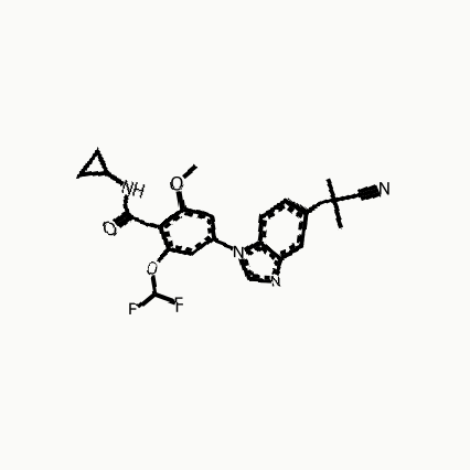 COc1cc(-n2cnc3cc(C(C)(C)C#N)ccc32)cc(OC(F)F)c1C(=O)NC1CC1